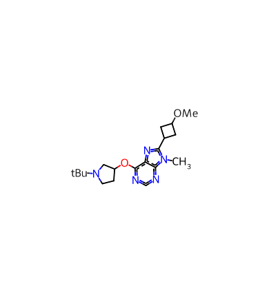 COC1CC(c2nc3c(OC4CCN(C(C)(C)C)C4)ncnc3n2C)C1